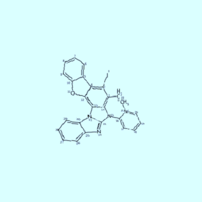 Cc1c(I)c2c3ccccc3oc2c2c1n(-c1cccc[n+]1C)c1nc3ccccc3n21